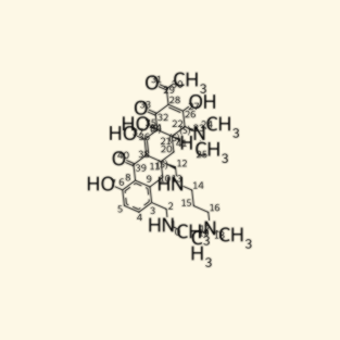 CNCc1ccc(O)c2c1C[C@@]1(CNCCCN(C)C)C[C@H]3[C@H](N(C)C)C(O)=C(C(C)=O)C(=O)[C@@]3(O)C(O)=C1C2=O